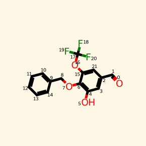 O=Cc1cc(O)c(OCc2ccccc2)c(OC(F)(F)F)c1